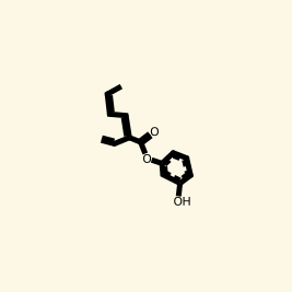 C=C/C(=C\C=C/C)C(=O)Oc1cccc(O)c1